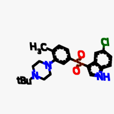 Cc1ccc(S(=O)(=O)c2c[nH]c3ccc(Cl)cc23)cc1N1CCN(C(C)(C)C)CC1